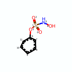 O=S(=O)(NO)Oc1ccccc1